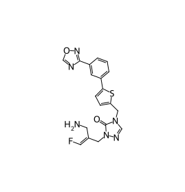 NC/C(=C\F)Cn1ncn(Cc2ccc(-c3cccc(-c4ncon4)c3)s2)c1=O